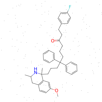 COc1ccc2c(c1)C(C)(CCCC(CCCC(=O)CCc1ccc(F)cc1)(c1ccccc1)c1ccccc1)NC(C)C2